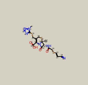 Cn1nnnc1SCC1=C(C(=O)O)N2C(=O)[C@@H](NC(=O)CSC=CC#N)[C@H]2SC1